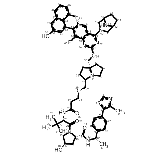 Cc1ncsc1-c1ccc([C@H](C)NC(=O)[C@@H]2C[C@@H](O)CN2C(=O)[C@@H](NC(=O)CCOC[C@H]2CC[C@@]3(COc4nc(N5CC6CCC(C5)N6)c5cnc(-c6cc(O)cc7cccc(F)c67)c(F)c5n4)CCCN23)C(C)(C)C)cc1